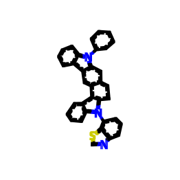 c1ccc(-n2c3ccccc3c3cc4c(ccc5c4c4ccccc4n5-c4cccc5ncsc45)cc32)cc1